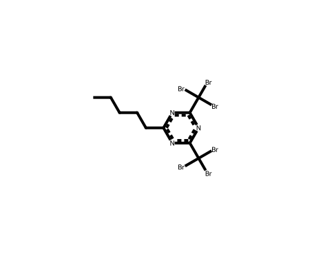 CCCCCc1nc(C(Br)(Br)Br)nc(C(Br)(Br)Br)n1